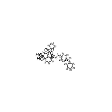 O=S(=O)(c1ccccc1)C1CS(O)(O)c2cccc(OCCN3CCN(Cc4ccccc4)CC3)c21